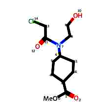 COC(=O)C1CCC(N(CCO)C(=O)CCl)CC1